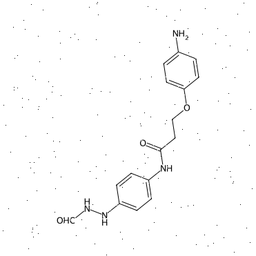 Nc1ccc(OCCC(=O)Nc2ccc(NNC=O)cc2)cc1